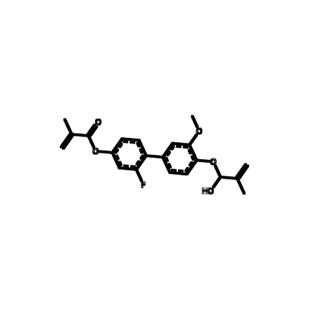 C=C(C)C(=O)Oc1ccc(-c2ccc(OC(O)C(=C)C)c(OC)c2)c(F)c1